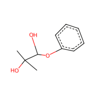 CC(C)(O)C(O)Oc1ccccc1